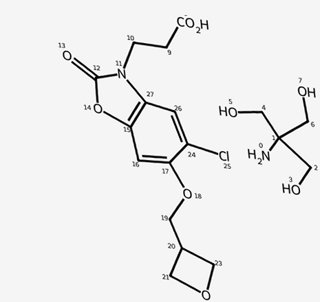 NC(CO)(CO)CO.O=C(O)CCn1c(=O)oc2cc(OCC3COC3)c(Cl)cc21